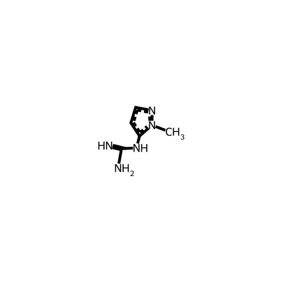 Cn1nccc1NC(=N)N